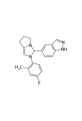 Cc1cc(F)ccc1N1C=C2CCCN2C1c1ccc2[nH]ncc2c1